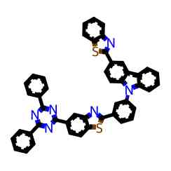 c1ccc(-c2nc(-c3ccccc3)nc(-c3ccc4sc(-c5cccc(-n6c7ccccc7c7cc(-c8nc9ccccc9s8)ccc76)c5)nc4c3)n2)cc1